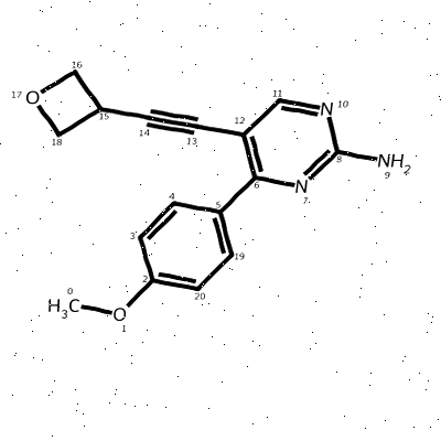 COc1ccc(-c2nc(N)ncc2C#CC2COC2)cc1